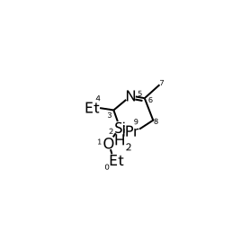 CCO[SiH2]C(CC)/N=C(/C)CC(C)C